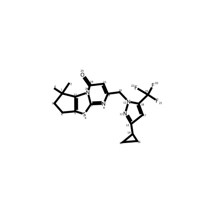 CC1(C)CCc2sc3nc(Cn4nc(C5CC5)cc4C(F)(F)F)cc(=O)n3c21